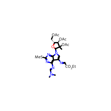 CCOC(=O)/C=N/c1cn(C2O[C@H](COC(C)=O)[C@@H](OC(C)=O)C2(C)OC(C)=O)c2nc(SC)nc(/N=C/N(C)C)c12